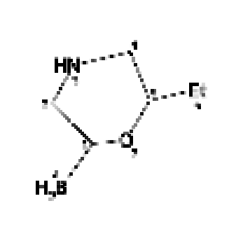 BC1CNCC(CC)O1